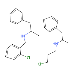 CC(Cc1ccccc1)NCCCCl.CC(Cc1ccccc1)NCc1ccccc1Cl